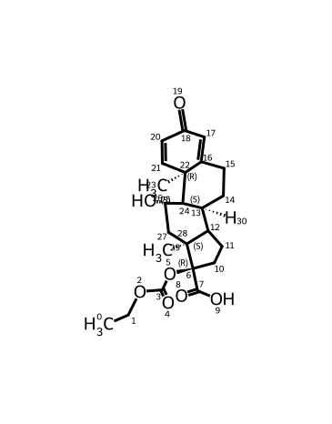 CCOC(=O)O[C@]1(C(=O)O)CCC2[C@@H]3CCC4=CC(=O)C=C[C@]4(C)C3[C@@H](O)C[C@@]21C